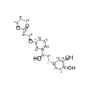 Oc1ccc(CC[C@@H](O)c2cccc(OCCC3OCCCO3)c2)cc1O